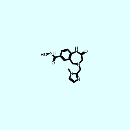 Cn1ccnc1CN1CC(=O)Nc2ccc(C(=O)NO)cc2C1